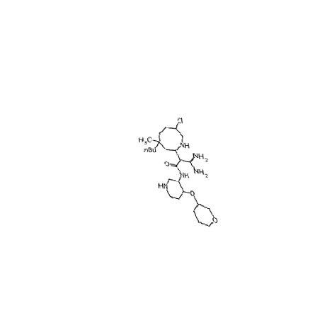 CCCCC1(C)CCC(Cl)CNC(C(C(=O)NC2CNCCC2OC2CCCOC2)C(N)N)C1